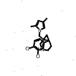 Cc1cc(C)n(CC23CNCCC2(c2ccc(Cl)c(Cl)c2)C3)c1